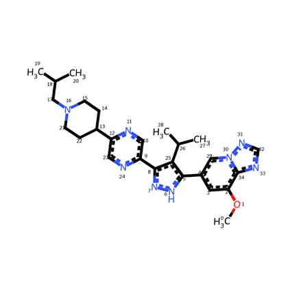 COc1cc(-c2[nH]nc(-c3cnc(C4CCN(CC(C)C)CC4)cn3)c2C(C)C)cn2ncnc12